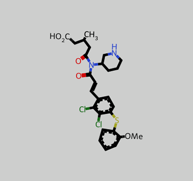 COc1ccccc1Sc1ccc(C=CC(=O)N(C(=O)CC(C)CC(=O)O)C2CCCNC2)c(Cl)c1Cl